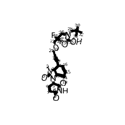 Cn1c(=O)n(C2CCC(=O)NC2=O)c2cccc(C#CCOCC(F)(F)CN(CC(C)(C)C)C(=O)O)c21